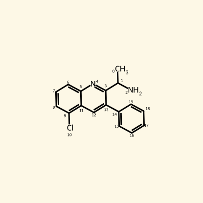 CC(N)c1nc2cccc(Cl)c2cc1-c1ccccc1